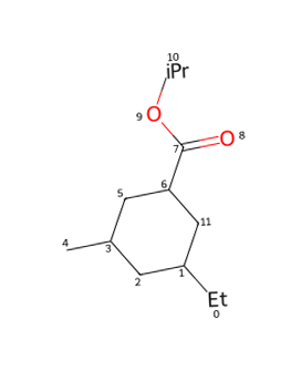 CCC1CC(C)CC(C(=O)OC(C)C)C1